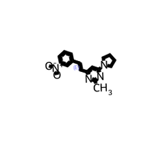 Cc1nc(/C=C/c2cccc([N+](=O)[O-])c2)cc(N2CCCC2)n1